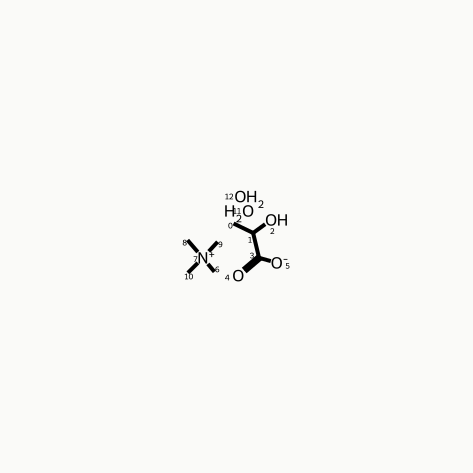 CC(O)C(=O)[O-].C[N+](C)(C)C.O.O